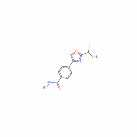 CC(C)NC(=O)c1ccc(-c2noc(C(C)F)n2)cc1